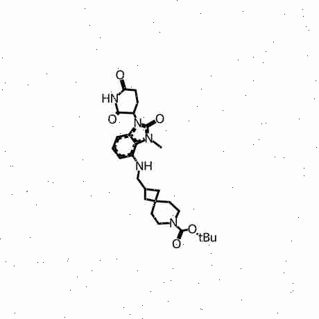 Cn1c(=O)n(C2CCC(=O)NC2=O)c2cccc(NCC3CC4(CCN(C(=O)OC(C)(C)C)CC4)C3)c21